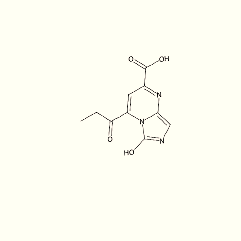 CCC(=O)c1cc(C(=O)O)nc2cnc(O)n12